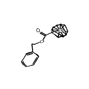 O=C(OCc1ccccc1)[C]12[CH]3[CH]4[CH]5[CH]1[Fe]45321678[CH]2[CH]1[CH]6[CH]7[CH]28